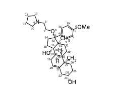 COc1ccc([C@@]2(OCCN3CCCC3)CC[C@]3(O)[C@@H]4CC=C5C[C@@H](O)CC[C@]5(C)[C@H]4CC[C@]23C)cc1